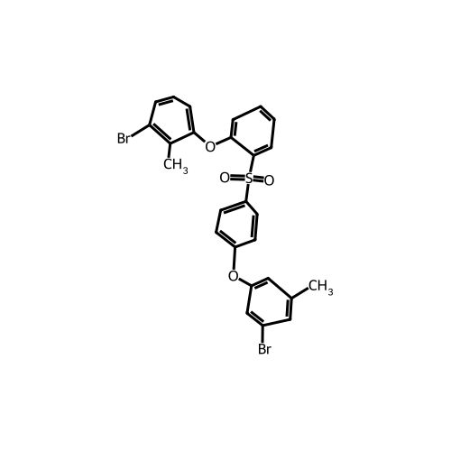 Cc1cc(Br)cc(Oc2ccc(S(=O)(=O)c3ccccc3Oc3cccc(Br)c3C)cc2)c1